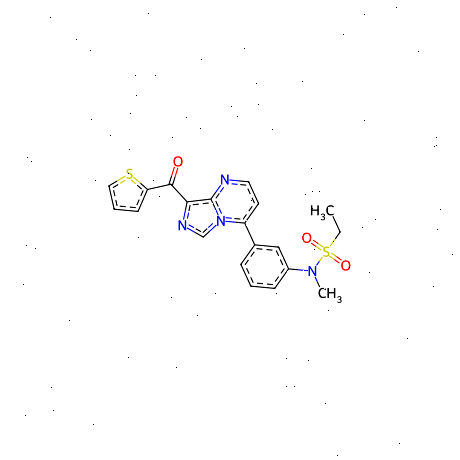 CCS(=O)(=O)N(C)c1cccc(-c2ccnc3c(C(=O)c4cccs4)ncn23)c1